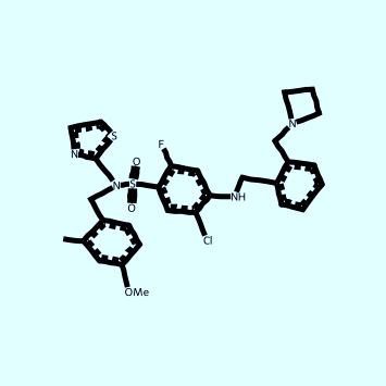 COc1ccc(CN(c2nccs2)S(=O)(=O)c2cc(Cl)c(NCc3ccccc3CN3CCC3)cc2F)c(C)c1